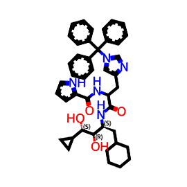 O=C(NC(Cc1cn(C(c2ccccc2)(c2ccccc2)c2ccccc2)cn1)C(=O)N[C@@H](CC1CCCCC1)[C@@H](O)[C@@H](O)C1CC1)c1ccc[nH]1